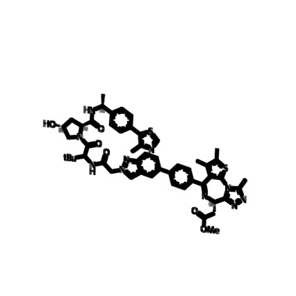 COC(=O)C[C@@H]1N=C(c2ccc(-c3ccc4nn(CC(=O)NC(C(=O)N5C[C@H](O)C[C@H]5C(=O)N[C@@H](C)c5ccc(-c6scnc6C)cc5)C(C)(C)C)cc4c3)cc2)c2c(sc(C)c2C)-n2c(C)nnc21